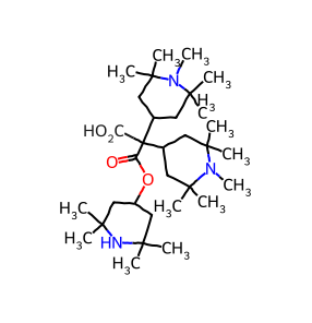 CN1C(C)(C)CC(C(C(=O)O)(C(=O)OC2CC(C)(C)NC(C)(C)C2)C2CC(C)(C)N(C)C(C)(C)C2)CC1(C)C